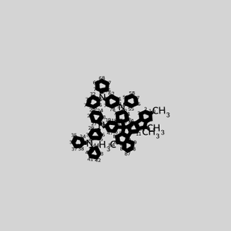 Cc1ccc2c(c1)C(C)(C)c1cc3c(cc1-2)C(c1ccc(N(c2ccccc2)c2ccc(N(c4ccccc4)c4ccccc4)cc2)cc1)(c1ccc(N(c2ccccc2)c2ccc(N(c4ccccc4)c4ccccc4)cc2)cc1)c1cc(C)c2ccccc2c1-3